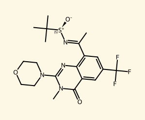 CC(=N[S@+]([O-])C(C)(C)C)c1cc(C(F)(F)F)cc2c(=O)n(C)c(N3CCOCC3)nc12